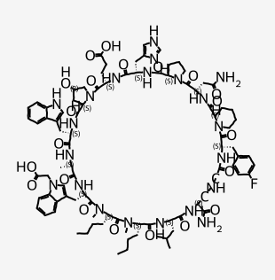 CCCC[C@H]1C(=O)N(C)[C@@H](CCCC)C(=O)N[C@@H](CC(C)C)C(=O)N[C@H](C(N)=O)CNCC(=O)N[C@@H](Cc2ccc(F)cc2)C(=O)N2CCCC[C@H]2C(=O)N[C@@H](CC(N)=O)C(=O)N2CCC[C@H]2C(=O)N[C@@H](Cc2c[nH]cn2)C(=O)N[C@@H](CCC(=O)O)C(=O)N2C[C@H](O)C[C@H]2C(=O)N[C@@H](Cc2c[nH]c3ccccc23)C(=O)N[C@@H](C)C(=O)N[C@@H](Cc2cn(CC(=O)O)c3ccccc23)C(=O)N1C